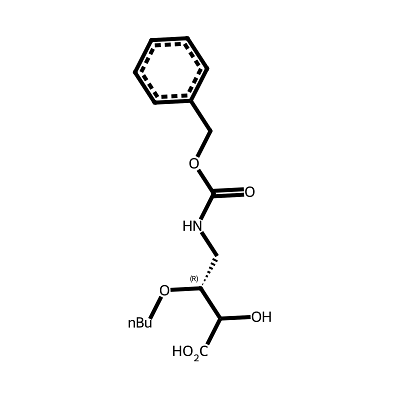 CCCCO[C@H](CNC(=O)OCc1ccccc1)C(O)C(=O)O